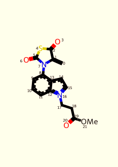 C=C1C(=O)SC(=O)N1c1cccc2c1ccn2CCC(=O)OC